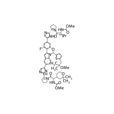 COC(=O)NC(C(=O)N1CCC[C@H]1c1ncc(-c2ccc3c(c2)cc2n3C(c3ccc(CC(C)(C)OC)s3)Oc3cc(-c4cnc([C@@H]5CCCN5C(=O)[C@@H](NC(=O)OC)C(C)C)[nH]4)cc(F)c3-2)[nH]1)C1CCOC(C)(C)C1